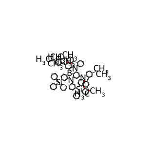 CC(C)c1ccc2c(c1)c1cc(C(C)C)ccc1n2-c1cc2c3c(c1)N(c1ccccc1-c1ccc(C(C)(C)C)cc1)c1ccc(-c4ccc(C(C)(C)C)cc4)cc1B3c1ccc([Si](c3ccccc3)(c3ccccc3)c3ccccc3)cc1N2c1cccc([Si](c2ccccc2)(c2ccccc2)c2ccccc2)c1